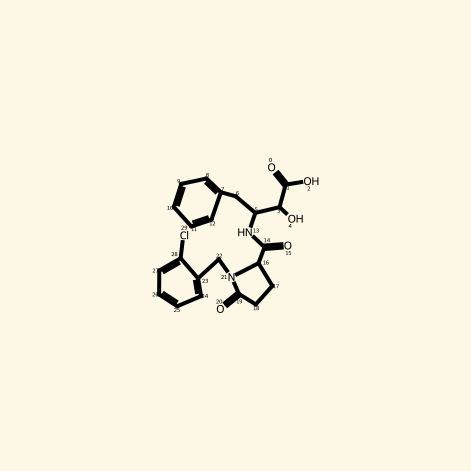 O=C(O)C(O)C(Cc1ccccc1)NC(=O)C1CCC(=O)N1Cc1ccccc1Cl